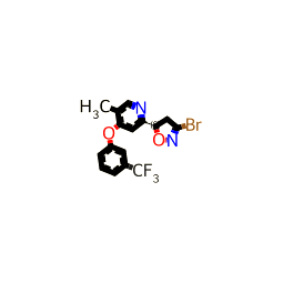 Cc1cnc([C@@H]2CC(Br)=NO2)cc1Oc1cccc(C(F)(F)F)c1